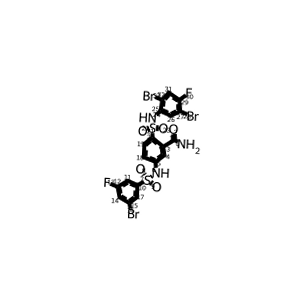 NC(=O)c1cc(NS(=O)(=O)c2cc(F)cc(Br)c2)ccc1S(=O)(=O)Nc1cc(Br)c(F)cc1Br